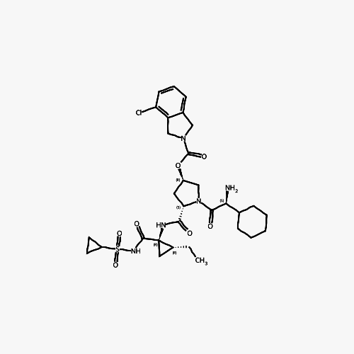 CC[C@@H]1C[C@]1(NC(=O)[C@@H]1C[C@@H](OC(=O)N2Cc3cccc(Cl)c3C2)CN1C(=O)[C@@H](N)C1CCCCC1)C(=O)NS(=O)(=O)C1CC1